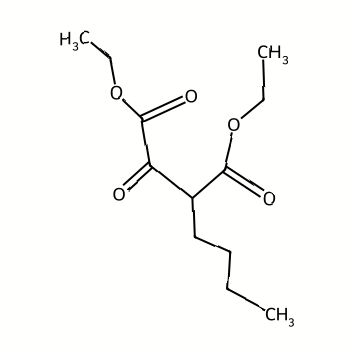 CCCCC(C(=O)OCC)C(=O)C(=O)OCC